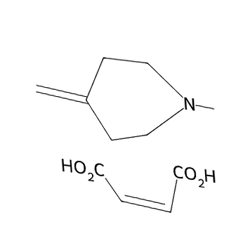 C=C1CCN(C)CC1.O=C(O)/C=C\C(=O)O